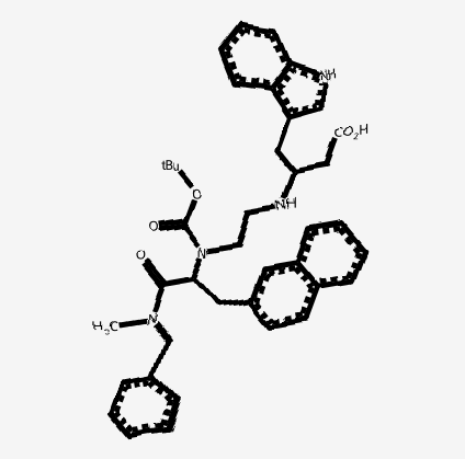 CN(Cc1ccccc1)C(=O)C(Cc1ccc2ccccc2c1)N(CCNC(CC(=O)O)Cc1c[nH]c2ccccc12)C(=O)OC(C)(C)C